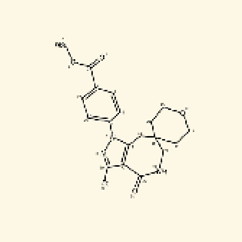 CCCCOC(=O)c1ccc(-n2nc(CC)c3c2CC2(CCOCC2)CNC3=O)cc1